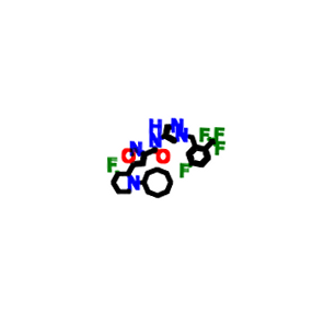 O=C(Nc1cnn(Cc2cc(F)ccc2C(F)(F)F)c1)c1cc(C2C(F)CCCN2C2CCCCCCC2)on1